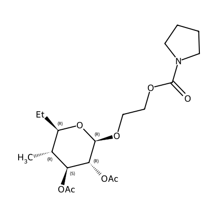 CC[C@H]1O[C@@H](OCCOC(=O)N2CCCC2)[C@H](OC(C)=O)[C@@H](OC(C)=O)[C@@H]1C